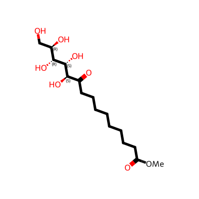 COC(=O)CCCCCCCCC(=O)[C@@H](O)[C@@H](O)[C@H](O)[C@H](O)CO